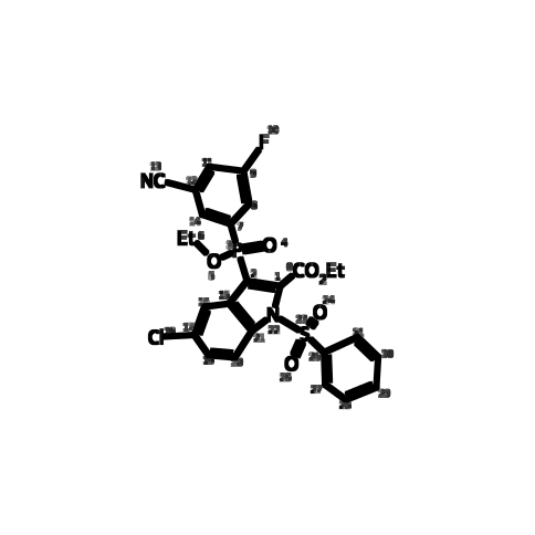 CCOC(=O)c1c(P(=O)(OCC)c2cc(F)cc(C#N)c2)c2cc(Cl)ccc2n1S(=O)(=O)c1ccccc1